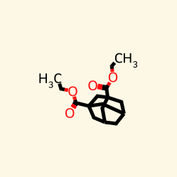 CCOC(=O)C12CC3CC(C1)CC(C(=O)OCC)(C3)C2